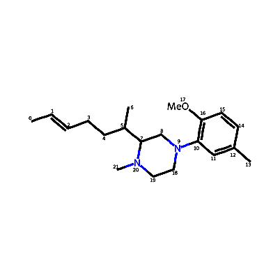 CC=CCCC(C)C1CN(c2cc(C)ccc2OC)CCN1C